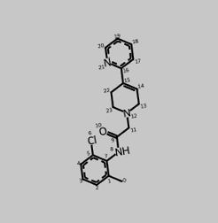 Cc1cccc(Cl)c1NC(=O)CN1CC=C(c2ccccn2)CC1